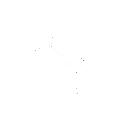 CC(C)C(=O)C#CC1(N(C)C)CN(C)C1